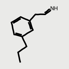 CCCc1cccc(CC=N)c1